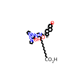 C[C@@H]1CC2C3CCC4=CC(=O)C=C[C@]4(C)C3=CC[C@]2(C)[C@H]1C(=O)CN1CCN(c2nc(N3CCCC3)nc(N3CCCC3)c2O)CC1CCCCCCCCCCCCCC(=O)O